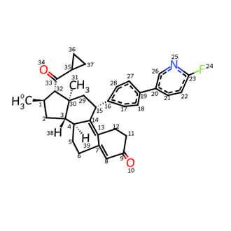 C[C@@H]1C[C@H]2[C@@H]3CCC4=CC(=O)CCC4=C3[C@@H](c3ccc(-c4ccc(F)nc4)cc3)C[C@]2(C)[C@H]1C(=O)C1CC1